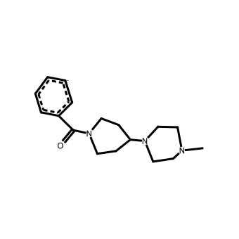 CN1CCN(C2CCN(C(=O)c3c[c]ccc3)CC2)CC1